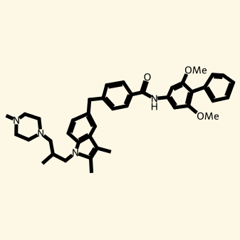 COc1cc(NC(=O)c2ccc(Cc3ccc4c(c3)c(C)c(C)n4CC(C)CN3CCN(C)CC3)cc2)cc(OC)c1-c1ccccc1